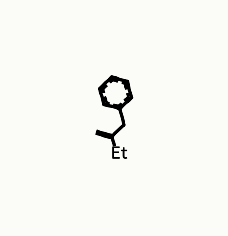 C=C(CC)Cc1ccccc1